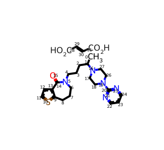 CC(CCCN1CCCc2sccc2C1=O)N1CCN(c2ncccn2)CC1.O=C(O)/C=C/C(=O)O